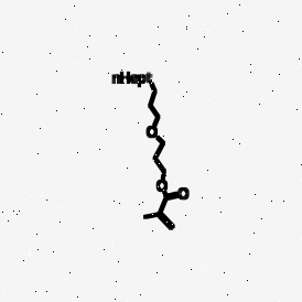 C=C(C)C(=O)OCCCOCCCCCCCCCC